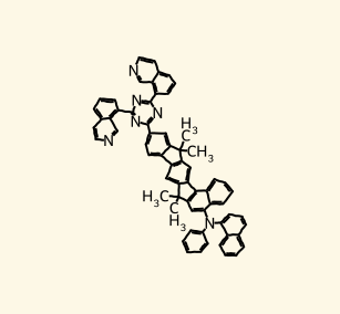 CC1(C)c2cc(-c3nc(-c4cccc5ccncc45)nc(-c4cccc5ccncc45)n3)ccc2-c2cc3c(cc21)-c1c(cc(N(c2ccccc2)c2cccc4ccccc24)c2ccccc12)C3(C)C